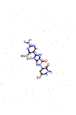 CCc1cc(N2Cc3c(nc(-c4cnc(N(C)C)nc4OC)n3C(C)C)C2=O)c(=O)n(C)c1